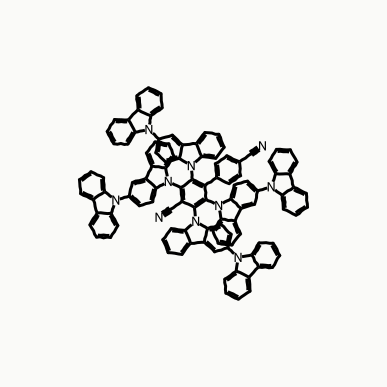 N#Cc1ccc(-c2c(-n3c4ccccc4c4cc(-n5c6ccccc6c6ccccc65)ccc43)c(-n3c4ccccc4c4cc(-n5c6ccccc6c6ccccc65)ccc43)c(C#N)c(-n3c4ccccc4c4cc(-n5c6ccccc6c6ccccc65)ccc43)c2-n2c3ccccc3c3cc(-n4c5ccccc5c5ccccc54)ccc32)cc1